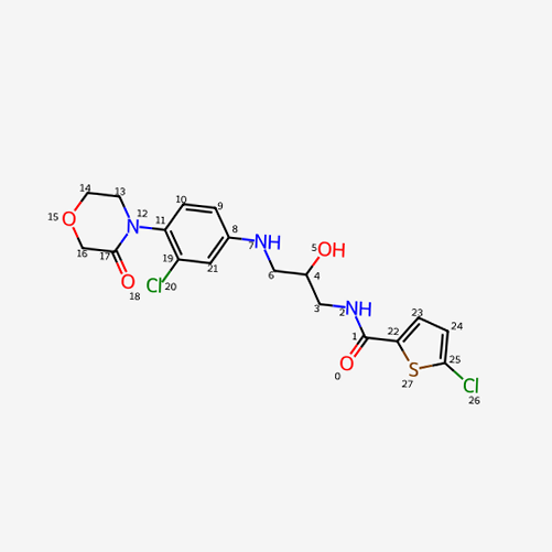 O=C(NCC(O)CNc1ccc(N2CCOCC2=O)c(Cl)c1)c1ccc(Cl)s1